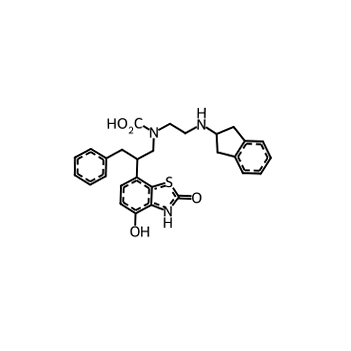 O=C(O)N(CCNC1Cc2ccccc2C1)CC(Cc1ccccc1)c1ccc(O)c2[nH]c(=O)sc12